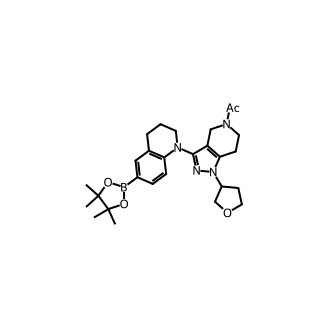 CC(=O)N1CCc2c(c(N3CCCc4cc(B5OC(C)(C)C(C)(C)O5)ccc43)nn2C2CCOC2)C1